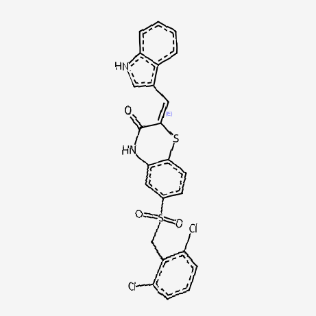 O=C1Nc2cc(S(=O)(=O)Cc3c(Cl)cccc3Cl)ccc2S/C1=C/c1c[nH]c2ccccc12